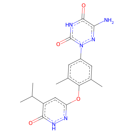 Cc1cc(-n2nc(N)c(=O)[nH]c2=O)cc(C)c1Oc1cc(C(C)C)c(=O)[nH]n1